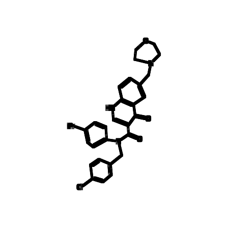 CC(C)c1ccc(N(Cc2ccc(Cl)cc2)C(=O)c2c[nH]c3ccc(CN4CCOCC4)cc3c2=O)cc1